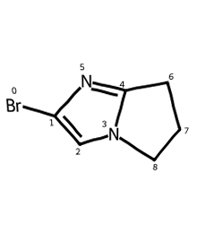 Brc1cn2c(n1)CCC2